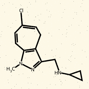 Cn1nc(CNC2CC2)c2c1C=CC(Cl)=CC2